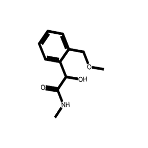 CNC(=O)C(O)c1ccccc1COC